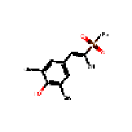 CCCCS(=O)(=O)/C(C#N)=C/c1cc(C(C)(C)C)c(O)c(C(C)(C)C)c1